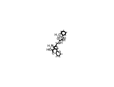 Cc1ccccc1S(=O)(=O)NC(=O)NCc1sc(C2CCCCO2)c(C(=O)O)c1N